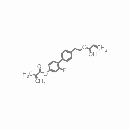 C=CC(O)OCCc1ccc(-c2ccc(OC(=O)C(=C)C)cc2F)cc1